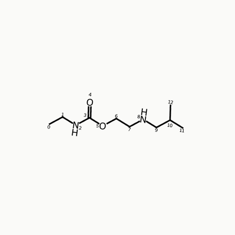 CCNC(=O)OCCNCC(C)C